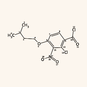 CC(C)CCOc1ccc(C(=O)Cl)c(Cl)c1[N+](=O)[O-]